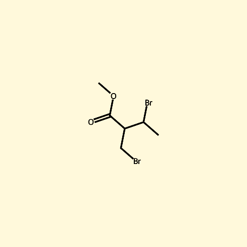 COC(=O)C(CBr)C(C)Br